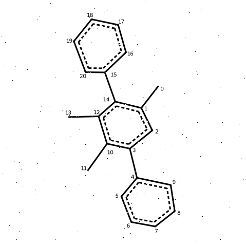 Cc1cc(-c2ccccc2)c(C)c(C)c1-c1ccccc1